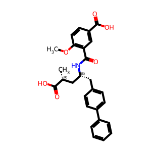 COc1ccc(C(=O)O)cc1C(=O)N[C@H](Cc1ccc(-c2ccccc2)cc1)C[C@@H](C)C(=O)O